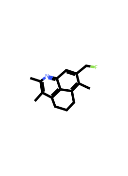 Cc1nc2cc(CF)c(C)c3c2c(c1C)CCC3